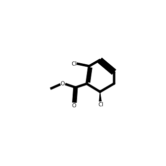 COC(=O)C1=C(Cl)C#CC[C@H]1Cl